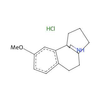 COc1ccc2c(c1)C13CCCC1(CC2)CNCC3.Cl